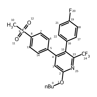 CCCCOc1cc(-c2ccc(S(C)(=O)=O)cc2)c(-c2ccc(F)cc2)c(C(F)(F)F)n1